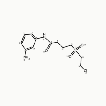 Nc1cccc(NC(=O)CCCS(=O)(=O)CCCl)c1